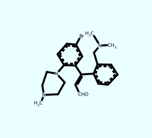 CN(C)Cc1ccccc1C(=CC=O)c1cc(Br)ccc1N1CCN(C)CC1